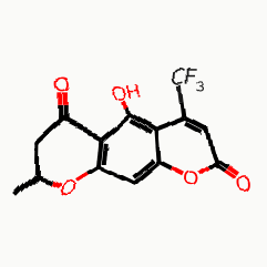 CC1CC(=O)c2c(cc3oc(=O)cc(C(F)(F)F)c3c2O)O1